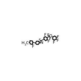 Cc1ccc(-c2ccc3nc(-c4cc(F)c(C(F)(F)Oc5cc(F)c(F)c(F)c5)c(F)c4)sc3c2)c(F)c1